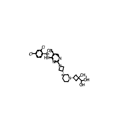 C[C@@H](Nc1nc(N2CC([C@H]3CCCN([C@H]4C[C@@](C)(C(O)O)C4)C3)C2)ncc1Cl)c1ccc(Cl)cc1Cl